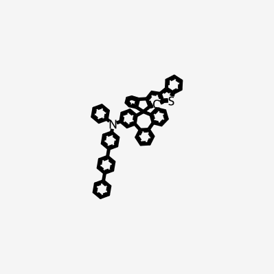 c1ccc(-c2ccc(-c3ccc(N(c4ccccc4)c4ccc5c(c4)-c4ccccc4-c4ccccc4C54c5ccccc5-c5cc6c(cc54)sc4ccccc46)cc3)cc2)cc1